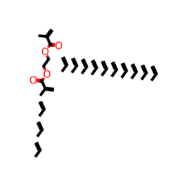 C=C(C)C(=O)OCCOC(=O)C(=C)C.C=CC.C=CC.C=CC.C=CC.C=CC.C=CC.C=CC.C=CC.C=CC.C=CC.C=CC.C=CC.C=CC